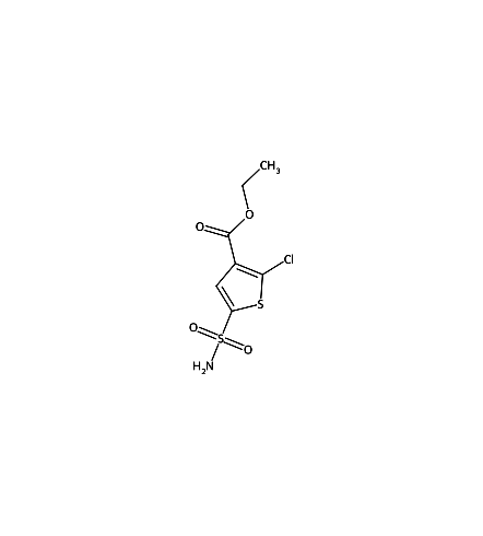 CCOC(=O)c1cc(S(N)(=O)=O)sc1Cl